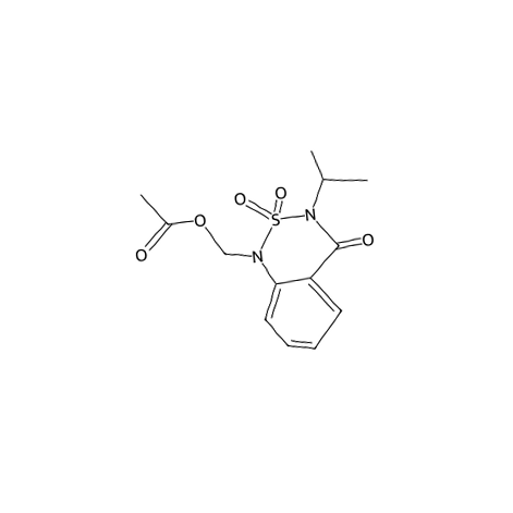 CC(=O)OCN1c2ccccc2C(=O)N(C(C)C)S1(=O)=O